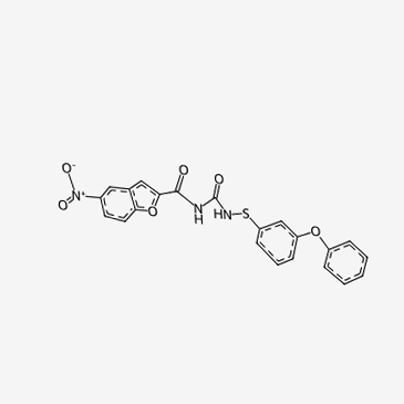 O=C(NSc1cccc(Oc2ccccc2)c1)NC(=O)c1cc2cc([N+](=O)[O-])ccc2o1